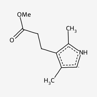 COC(=O)CCc1c(C)[c][nH]c1C